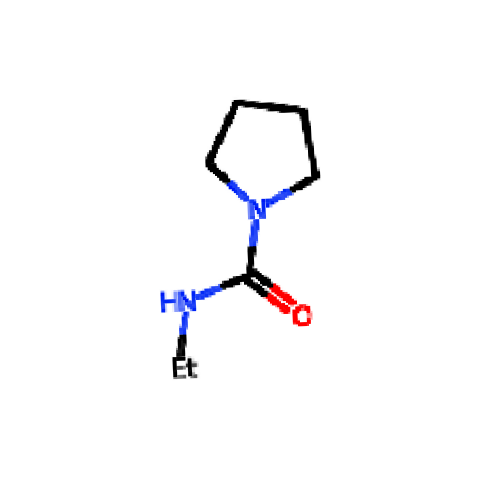 CCNC(=O)N1CCCC1